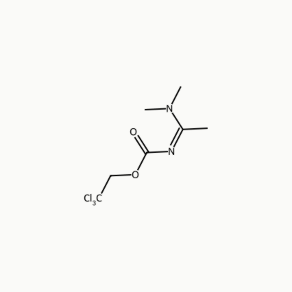 C/C(=N/C(=O)OCC(Cl)(Cl)Cl)N(C)C